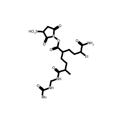 CCC(C)C(=O)NCNC(=O)C(C)CCC(CCC(CC)C(N)=O)C(=O)ON1C(=O)CC(S(=O)(=O)O)C1=O